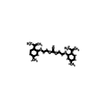 CC1CCC(C(C)C)C(OCCOC(=O)OCCOC2CC(C)CCC2C(C)C)C1